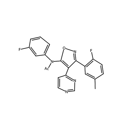 CC(=O)N(c1cccc(F)c1)c1onc(-c2cc(C)ccc2F)c1-c1ccncn1